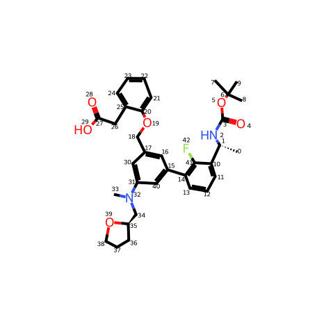 C[C@@H](NC(=O)OC(C)(C)C)c1cccc(-c2cc(COc3ccccc3CC(=O)O)cc(N(C)C[C@H]3CCCO3)c2)c1F